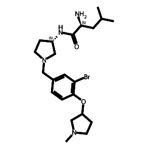 CC(C)C[C@H](N)C(=O)N[C@H]1CCN(Cc2ccc(OC3CCN(C)C3)c(Br)c2)C1